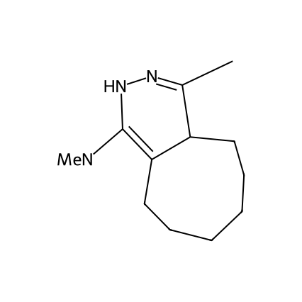 CNC1=C2CCCCCCC2C(C)=NN1